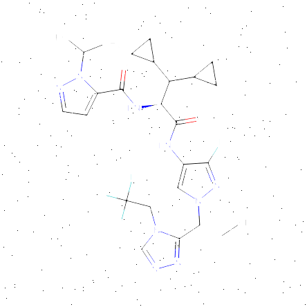 CC[C@H](c1nncn1CC(F)(F)F)n1cc(NC(=O)[C@@H](NC(=O)c2ccnn2C(C)C)C(C2CC2)C2CC2)c(F)n1